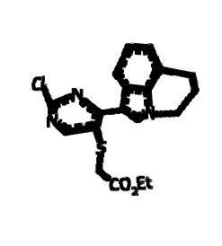 CCOC(=O)CSc1cnc(Cl)nc1-c1cn2c3c(cccc13)CCC2